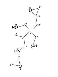 C1CO1.CC(CO)C(CO)(CO)CC1CO1